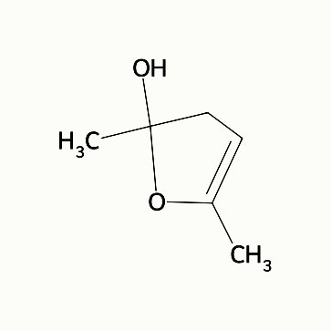 CC1=CCC(C)(O)O1